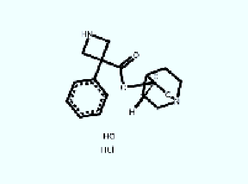 Cl.Cl.O=C(O[C@H]1CN2CCC1CC2)C1(c2ccccc2)CNC1